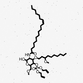 C=CCOP(=O)(OCC=C)OC1C(COC)OC(O)[C@H](NC(=O)CCCCCCCCC/C=C\CCCCCC)C1OCCC(CCCCCCC)OC